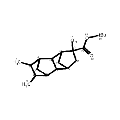 CC1C(C)C2CC1C1C3CC(C21)C(C(=O)OC(C)(C)C)(C(F)(F)F)C3